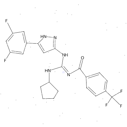 O=C(/N=C(\Nc1cc(-c2cc(F)cc(F)c2)[nH]n1)NC1CCCC1)c1ccc(C(F)(F)F)cc1